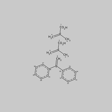 C=C(C)C(=O)O.C=C(C)C(=O)O.C=C(c1ccccc1)c1ccccc1